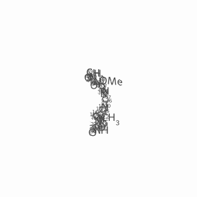 COc1cc2nn([C@H]3CC[C@H](CN4CCC(c5cccc6c5n(C)c(=O)n6C5CCC(=O)NC5=O)CC4)CC3)cc2cc1NC(=O)c1coc(C)n1